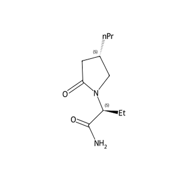 CCC[C@H]1CC(=O)N([C@@H](CC)C(N)=O)C1